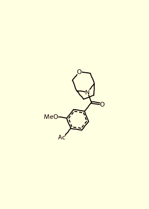 COc1cc(C(=O)N2C3CCC2COC3)ccc1C(C)=O